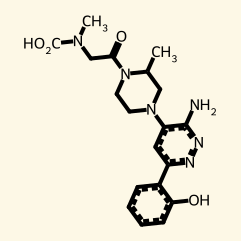 CC1CN(c2cc(-c3ccccc3O)nnc2N)CCN1C(=O)CN(C)C(=O)O